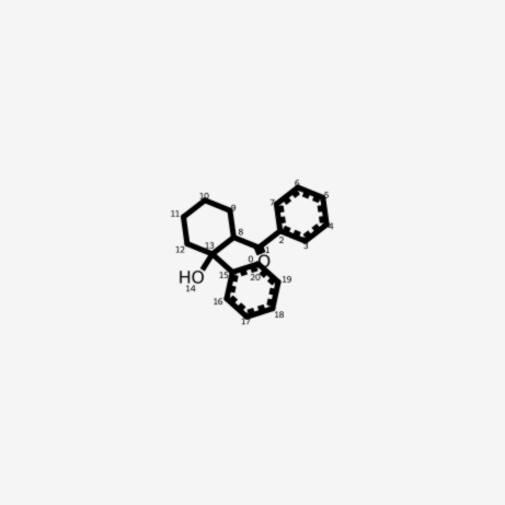 O=C(c1ccccc1)C1CCCCC1(O)c1ccccc1